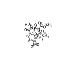 CCC(C)SP(=O)(N(C)C(=O)OC)N(C)C(=O)c1ccc([N+](=O)[O-])cc1